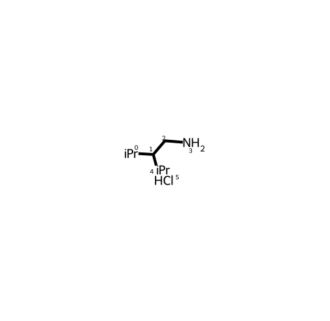 CC(C)C(CN)C(C)C.Cl